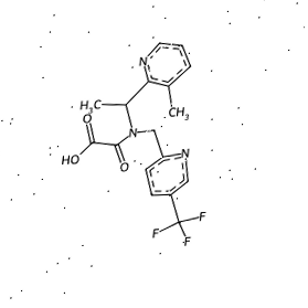 Cc1cccnc1C(C)N(Cc1ccc(C(F)(F)F)cn1)C(=O)C(=O)O